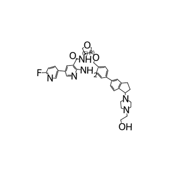 Nc1ncc(-c2ccc(F)nc2)cc1C(=O)N[C@H]1COC[C@@H]1OCc1ccc(-c2ccc3c(c2)CCC3N2CCN(CCO)CC2)cc1